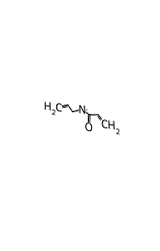 C=CC[N]C(=O)C=C